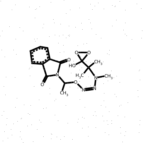 CC(O/N=N\N(C)C(C)(C)C1(O)OO1)N1C(=O)c2ccccc2C1=O